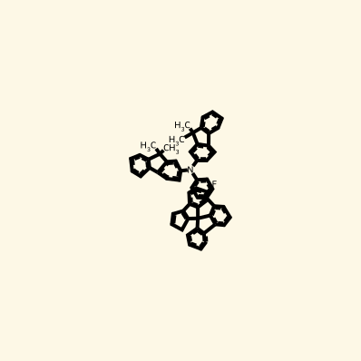 CC1(C)c2ccccc2-c2ccc(N(c3ccc(-c4cccc5c4C4(C6=C(C=CC6)c6ccc(F)cc64)c4ccccc4-5)cc3)c3ccc4c(c3)C(C)(C)c3ccccc3-4)cc21